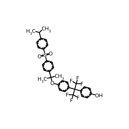 CC(C)c1ccc(S(=O)(=O)c2ccc(C(C)(C)Oc3ccc(C(c4ccc(O)cc4)(C(F)(F)F)C(F)(F)F)cc3)cc2)cc1